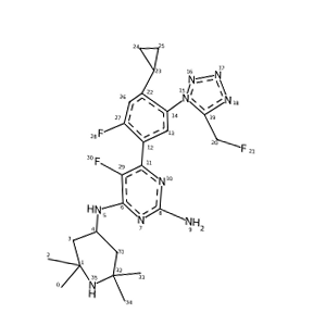 CC1(C)CC(Nc2nc(N)nc(-c3cc(-n4nnnc4CF)c(C4CC4)cc3F)c2F)CC(C)(C)N1